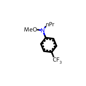 CCCN(OC)c1ccc(C(F)(F)F)cc1